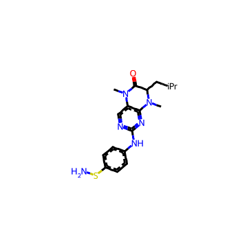 CC(C)CC1C(=O)N(C)c2cnc(Nc3ccc(SN)cc3)nc2N1C